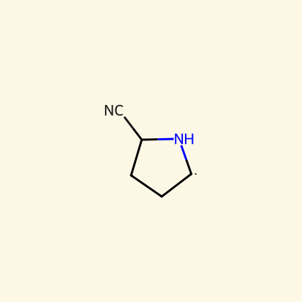 N#CC1CC[CH]N1